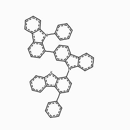 c1ccc(-c2ccc(-n3c4ccccc4c4ccc(-c5cccc6c7ccccc7n(-c7ccccc7)c56)cc43)c3sc4ccccc4c23)cc1